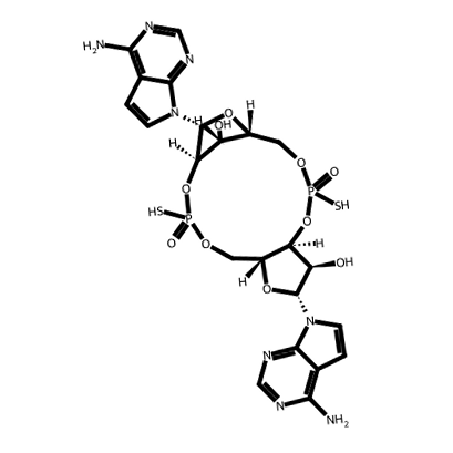 Nc1ncnc2c1ccn2[C@@H]1O[C@@H]2COP(=O)(S)O[C@@H]3[C@H](O)[C@@H](COP(=O)(S)O[C@H]2[C@H]1O)O[C@H]3n1ccc2c(N)ncnc21